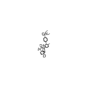 CCN(CC)C(=O)c1ccc(-c2nc(NC(=O)C3(c4ccc(OC)cc4)CC3)ccc2C)cc1